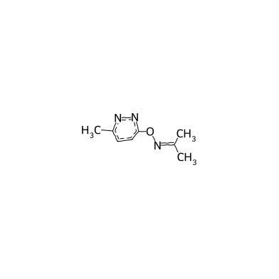 CC(C)=NOc1ccc(C)nn1